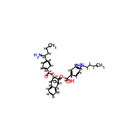 CCCCNc1ccc(C(O)O[C@@H]2C3CC(c4ccccc43)[C@@H]2OC(=O)c2ccc(C(N)CCC)cc2)cc1